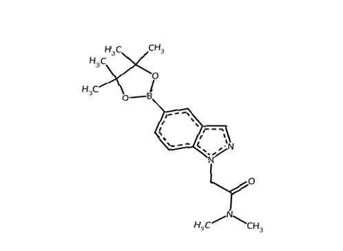 CN(C)C(=O)Cn1ncc2cc(B3OC(C)(C)C(C)(C)O3)ccc21